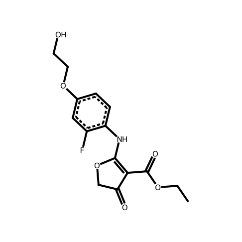 CCOC(=O)C1=C(Nc2ccc(OCCO)cc2F)OCC1=O